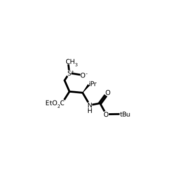 CCOC(=O)C(C[S+](C)[O-])[C@H](NC(=O)OC(C)(C)C)C(C)C